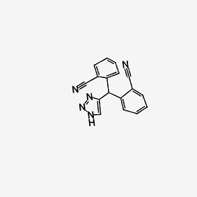 N#Cc1ccccc1C(c1c[nH]nn1)c1ccccc1C#N